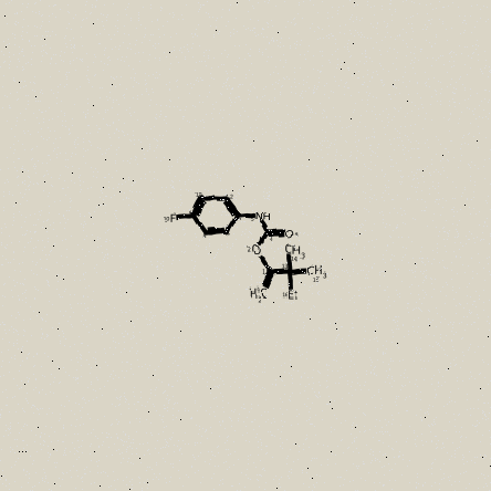 C=C(OC(=O)Nc1ccc(F)cc1)C(C)(C)CC